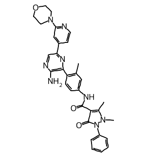 Cc1cc(NC(=O)c2c(C)n(C)n(-c3ccccc3)c2=O)ccc1-c1nc(-c2ccnc(N3CCOCC3)c2)cnc1N